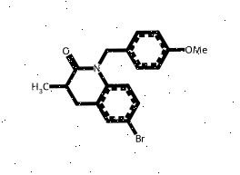 COc1ccc(CN2C(=O)C(C)Cc3cc(Br)ccc32)cc1